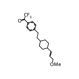 COCC=CC1CCC(CCc2ccc(C(=O)C(F)(F)F)cc2)CC1